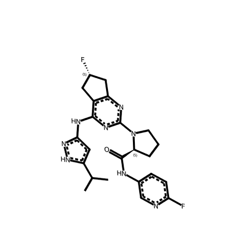 CC(C)c1cc(Nc2nc(N3CCC[C@H]3C(=O)Nc3ccc(F)nc3)nc3c2C[C@H](F)C3)n[nH]1